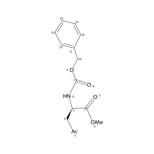 COC(=O)[C@@H](CC(C)=O)NC(=O)OCc1ccccc1